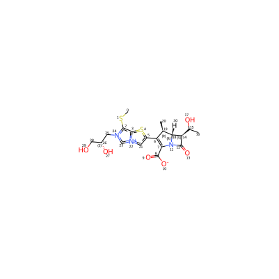 CSc1c2sc(C3=C(C(=O)[O-])N4C(=O)[C@H](C(C)O)[C@H]4[C@@H]3C)c[n+]2cn1C[C@H](O)CO